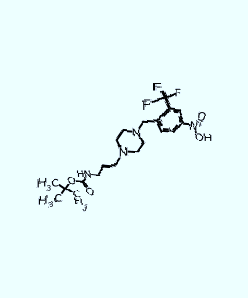 CC(C)(C)OC(=O)NCCCN1CCN(Cc2ccc([N+](=O)O)cc2C(F)(F)F)CC1